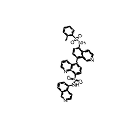 Cc1ccccc1S(=O)(=O)Nc1ccc(-c2ccc(S(=O)(=O)Nc3cccc4cnccc34)c3ncccc23)c2cnccc12